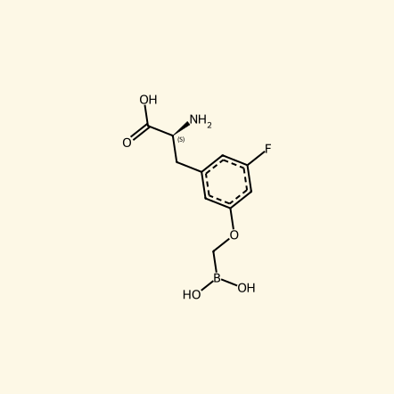 N[C@@H](Cc1cc(F)cc(OCB(O)O)c1)C(=O)O